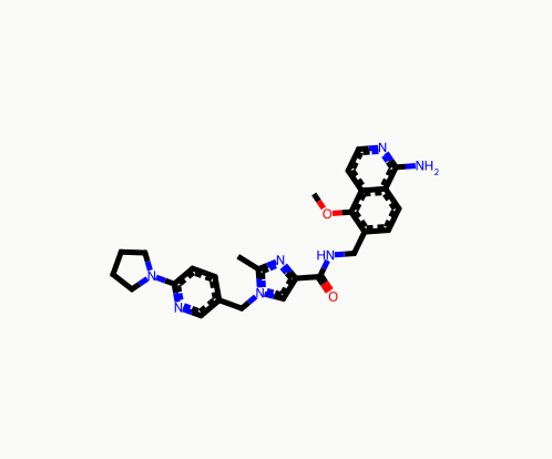 COc1c(CNC(=O)c2cn(Cc3ccc(N4CCCC4)nc3)c(C)n2)ccc2c(N)nccc12